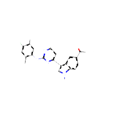 COC(=O)c1ccc2c(c1)c(-c1ccnc(Nc3cc([N+](=O)[O-])c(F)cc3C)n1)cn2C